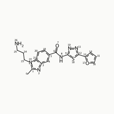 Cc1nc2cc(C(=O)Nc3nnc(-c4ccco4)s3)ccc2n1CCCN